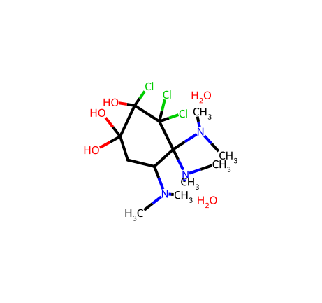 CN(C)C1CC(O)(O)C(O)(Cl)C(Cl)(Cl)C1(N(C)C)N(C)C.O.O